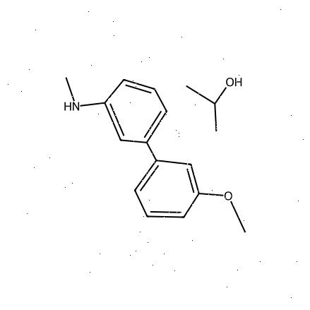 CC(C)O.CNc1cccc(-c2cccc(OC)c2)c1